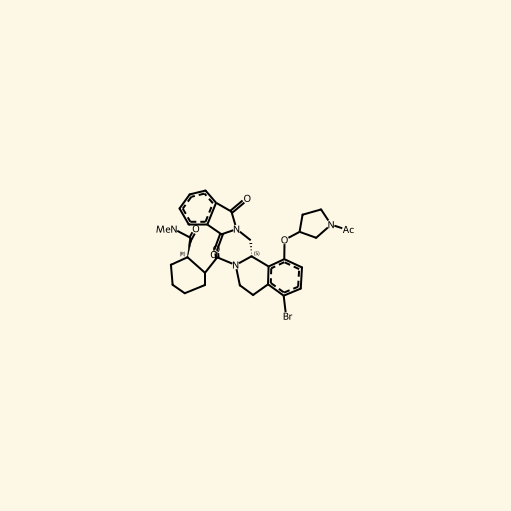 CNC(=O)[C@@H]1CCCCC1C(=O)N1CCc2c(Br)ccc(OC3CCN(C(C)=O)C3)c2[C@H]1CN1C(=O)c2ccccc2C1=O